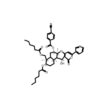 CCCCCC(=O)OC[C@@]1(C)C2C[C@H](OC(=O)c3ccc(C#N)cc3)[C@@]3(C)Oc4cc(-c5cccnc5)oc(=O)c4[C@H](O)C3[C@@]2(C)CC[C@@H]1OC(=O)CCCCC